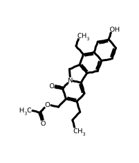 CCCc1cc2n(c(=O)c1COC(C)=O)Cc1c-2cc2ccc(O)cc2c1CC